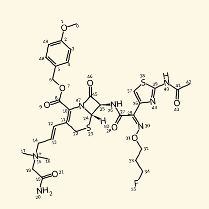 COc1ccc(COC(=O)C2=C(/C=C/C[N+](C)(C)CC(N)=O)CS[C@H]3[C@H](NC(=O)/C(=N\OCCCF)c4csc(NC(C)=O)n4)C(=O)N23)cc1